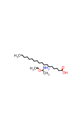 C=COC(C)N.CCCCCCCCCCCCCCCCCC(=O)O